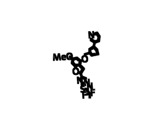 COc1cc(OCc2cccc(-c3cccnc3)c2)c2cc(-c3cn4nc(C(C)(F)F)sc4n3)oc2c1